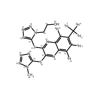 [2H]c1c(C([2H])([2H])[2H])c([2H])c2nc(Sc3nnnn3CCO)c(Sc3nnnn3C)nc2c1[2H]